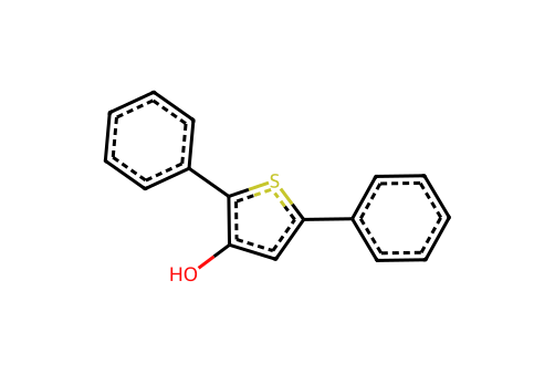 Oc1cc(-c2ccccc2)sc1-c1ccccc1